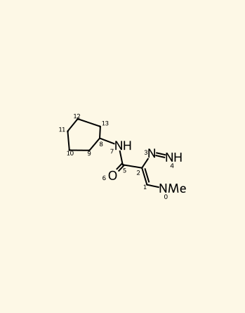 CN/C=C(\N=N)C(=O)NC1CCCCC1